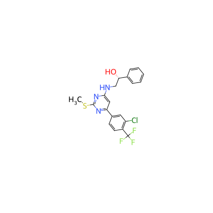 CSc1nc(NC[C@H](O)c2ccccc2)cc(-c2ccc(C(F)(F)F)c(Cl)c2)n1